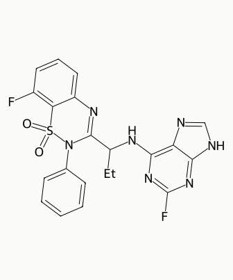 CCC(Nc1nc(F)nc2[nH]cnc12)C1=Nc2cccc(F)c2S(=O)(=O)N1c1ccccc1